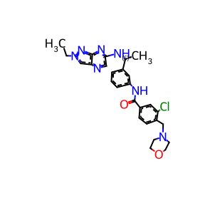 CCn1cc2ncc(N[C@@H](C)c3cccc(NC(=O)c4ccc(CN5CCOCC5)c(Cl)c4)c3)nc2n1